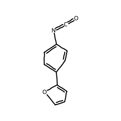 O=C=Nc1ccc(-c2ccco2)cc1